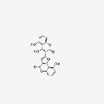 O=c1oc2cccc(O)c2c(O)c1-c1cc2c(=O)oc3cccc(O)c3c2o1